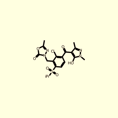 Cc1nn(Cc2c(S(=O)(=O)C(C)C)ccc(C(=O)c3c(C)nn(C)c3O)c2Cl)c(=O)o1